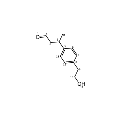 CC(CC=O)c1ccc(CCO)cc1